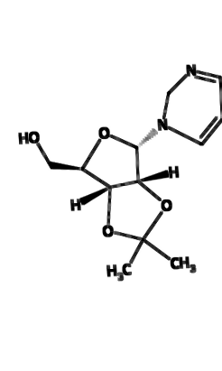 CC1(C)O[C@@H]2[C@H](O1)[C@@H](CO)O[C@@H]2N1C=CC=NC1